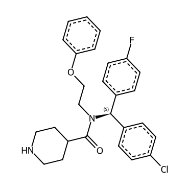 O=C(C1CCNCC1)N(CCOc1ccccc1)[C@@H](c1ccc(F)cc1)c1ccc(Cl)cc1